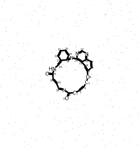 O=C1C/C=C\COc2ccc3ncnc(c3c2)/N=c2\cccc\c2=C/NC(=O)/C=C/C=N/1